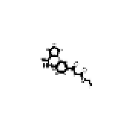 CCOC(=O)CC(=O)c1ccc(NC(C)C2CCCC2)cc1